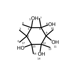 CC1(C)C(C)(O)C(C)(O)C(C)(O)C(C)(O)C1(C)O